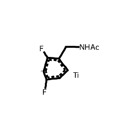 CC(=O)NCc1ccc(F)[c]c1F.[Ti]